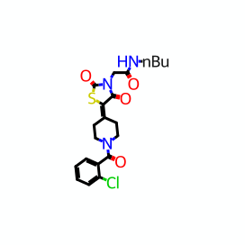 CCCCNC(=O)CN1C(=O)SC(=C2CCN(C(=O)c3ccccc3Cl)CC2)C1=O